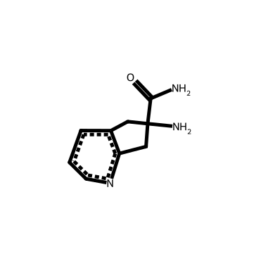 NC(=O)C1(N)Cc2cccnc2C1